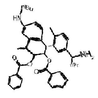 CCCCNc1ccc2c(c1)C(C)C(OC(=O)c1ccccc1)C(OC(=O)c1ccccc1)[C@H]2c1cc(C(N)CCC)ccc1C